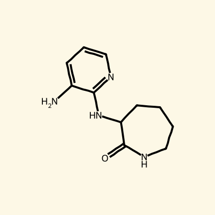 Nc1cccnc1NC1CCCCNC1=O